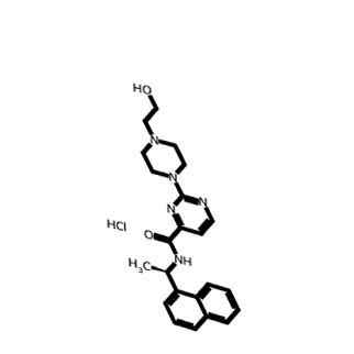 C[C@@H](NC(=O)c1ccnc(N2CCN(CCO)CC2)n1)c1cccc2ccccc12.Cl